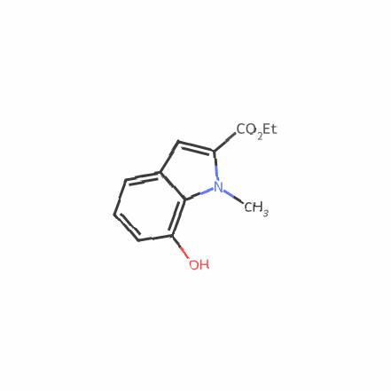 CCOC(=O)c1cc2cccc(O)c2n1C